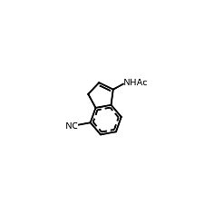 CC(=O)NC1=CCc2c(C#N)cccc21